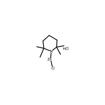 CC1(C)CCCC(C)(C)[N]1[Zn][Cl].Cl